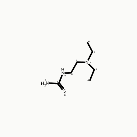 CCN(CC)CCNC(N)=S